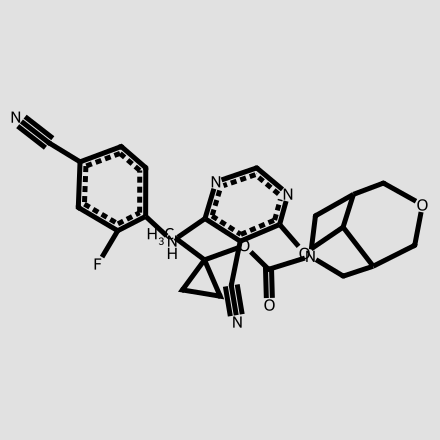 CC1(OC(=O)N2CC3COCC(C2)C3Oc2ncnc(Nc3ccc(C#N)cc3F)c2C#N)CC1